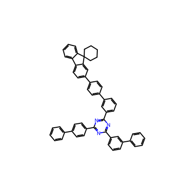 c1ccc(-c2ccc(-c3nc(-c4cccc(-c5ccccc5)c4)nc(-c4cccc(-c5ccc(-c6ccc7c(c6)C6(CCCCC6)c6ccccc6-7)cc5)c4)n3)cc2)cc1